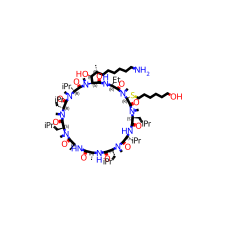 CC[C@H]1NC(=O)[C@H]([C@H](O)[C@H](C)CCCCCCN)N(C)C(=O)[C@@H](C(C)C)N(C)C(=O)[C@@H](CC(C)C)N(C)C(=O)[C@H](CC(C)C)N(C)C(=O)[C@H](C)NC(=O)[C@@H](C)NC(=O)[C@@H](CC(C)C)N(C)C(=O)[C@@H](C(C)C)NC(=O)[C@H](CC(C)C)N(C)C(=O)[C@@H](SCCCCCCO)N(C)C1=O